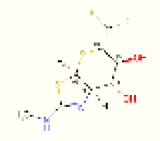 CNC1=N[C@H]2[C@@H](S1)S[C@H](C(F)F)[C@@H](O)[C@@H]2O